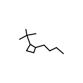 CCCCC1CC[C]1C(C)(C)C